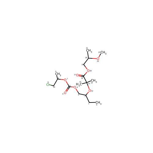 CCC(COC(=O)OC(C)CCl)OC(C)(C)C(=O)OCC(C)OC